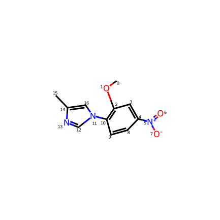 COc1cc([N+](=O)[O-])ccc1-n1cnc(C)c1